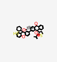 C=C(C)C(=O)OC1(C2CCSC2)c2ccccc2C(=O)c2ccc(-c3ccc4c(c3)C(OCC(C)(C)C)(C3CCCCC3S)c3ccccc3O4)cc21